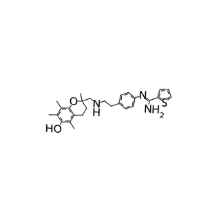 Cc1c(C)c2c(c(C)c1O)CCC(C)(CNCCc1ccc(/N=C(\N)c3cccs3)cc1)O2